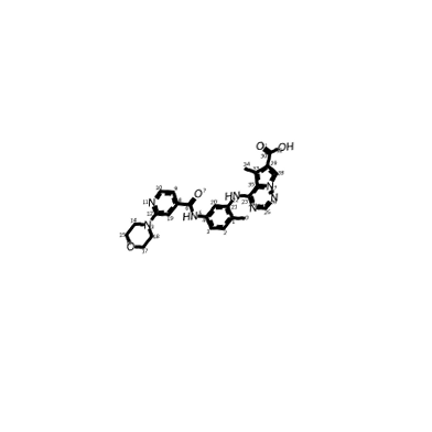 Cc1ccc(NC(=O)c2ccnc(N3CCOCC3)c2)cc1Nc1ncnn2cc(C(=O)O)c(C)c12